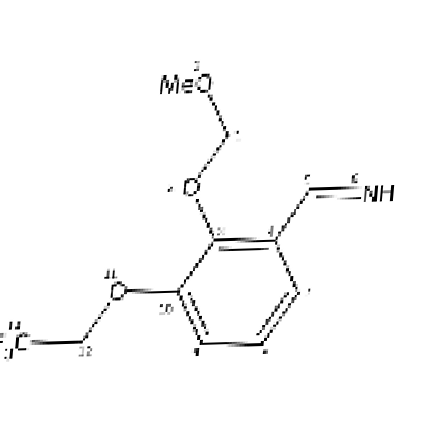 COCOc1c(C=N)cccc1OCC(F)(F)F